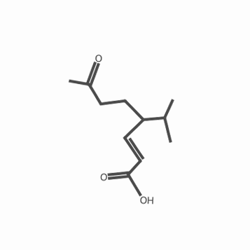 CC(=O)CCC(C=CC(=O)O)C(C)C